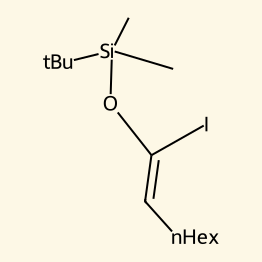 CCCCCCC=C(I)O[Si](C)(C)C(C)(C)C